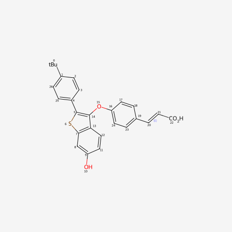 CC(C)(C)c1ccc(-c2sc3cc(O)ccc3c2Oc2ccc(/C=C/C(=O)O)cc2)cc1